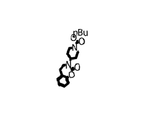 CCCCOC(=O)N1CCC(N2CCc3ccccc3OC2=O)CC1